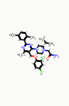 Cc1ccc(C)c(-c2nc(C)c(COc3ccc(Cl)cc3Cl)c(N3CCN(CC(N)=O)[C@@H](C(C)C)C3)n2)c1